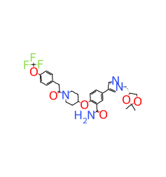 CC1(C)OC[C@@H](Cn2cc(-c3ccc(OC4CCN(C(=O)Cc5ccc(OC(F)(F)F)cc5)CC4)c(C(N)=O)c3)cn2)O1